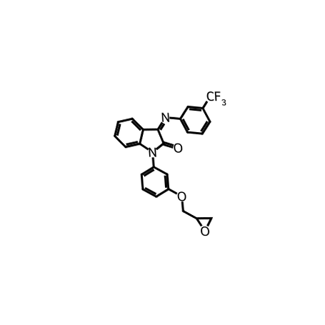 O=C1C(=Nc2cccc(C(F)(F)F)c2)c2ccccc2N1c1cccc(OCC2CO2)c1